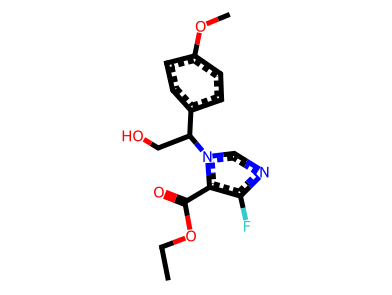 CCOC(=O)c1c(F)ncn1C(CO)c1ccc(OC)cc1